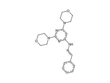 C(=NNc1cc(N2CCOCC2)nc(N2CCOCC2)n1)c1ccccc1